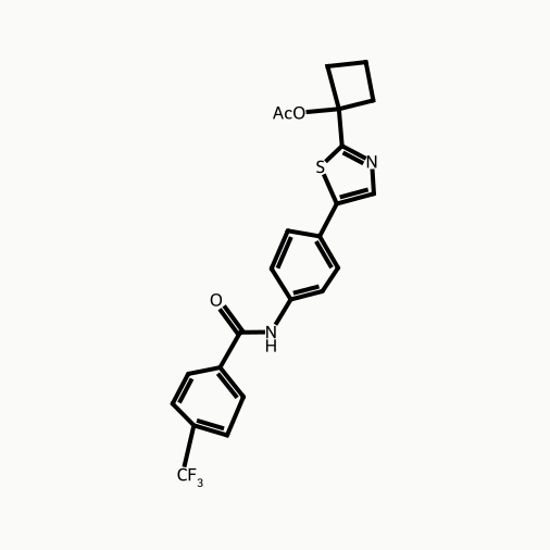 CC(=O)OC1(c2ncc(-c3ccc(NC(=O)c4ccc(C(F)(F)F)cc4)cc3)s2)CCC1